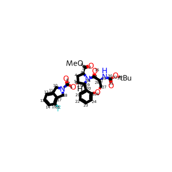 COC(=O)[C@@H]1C[C@@H](OC(=O)N2Cc3cccc(F)c3C2)[C@@H]2c3ccccc3OC[C@H](NC(=O)OC(C)(C)C)C(=O)N12